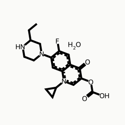 CCC1CN(c2cc3c(cc2F)c(=O)c(OC(=O)O)cn3C2CC2)CCN1.O